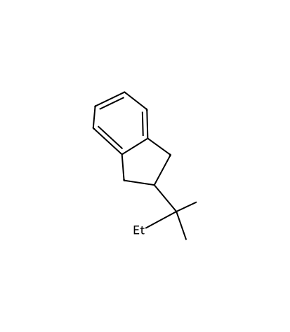 CCC(C)(C)C1Cc2ccccc2C1